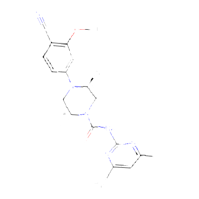 COc1cc(N2C[C@@H](C)N(C(=O)Nc3nc(C)cc(C)n3)C[C@@H]2C)ccc1C#N